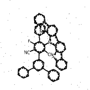 N#Cc1c(F)c(-c2ccccc2)c(-n2c3c(ccc4c5ccccc5sc43)c3ccc4c5ccccc5sc4c32)c(C#N)c1-c1cc(-c2ccccc2)cc(-c2ccccc2)c1